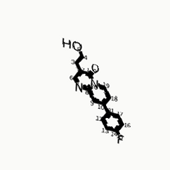 O=c1c(CCO)cnc2cc(-c3ccc(F)cc3)ccn12